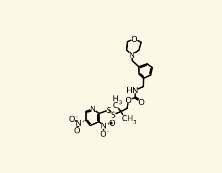 CC(C)(COC(=O)NCc1cccc(CN2CCOCC2)c1)SSc1ncc([N+](=O)[O-])cc1[N+](=O)[O-]